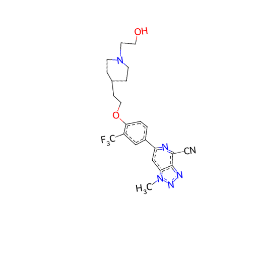 Cn1nnc2c(C#N)nc(-c3ccc(OCCC4CCN(CCO)CC4)c(C(F)(F)F)c3)cc21